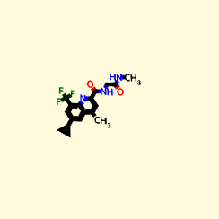 CNC(=O)CNC(=O)c1cc(C)c2cc(C3CC3)cc(C(F)(F)F)c2n1